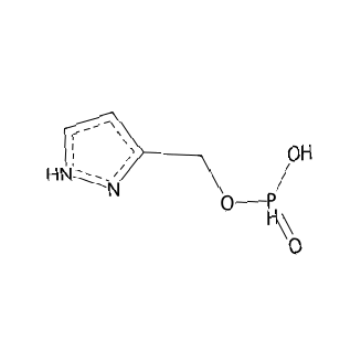 O=[PH](O)OCc1cc[nH]n1